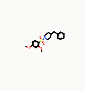 COc1ccc(S(=O)(=O)N2CCC(Cc3ccccc3)CC2)c(OC)c1